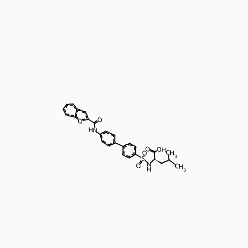 CC(C)C[C@@H](NS(=O)(=O)c1ccc(-c2ccc(NC(=O)c3cc4ccccc4o3)cc2)cc1)C(=O)O